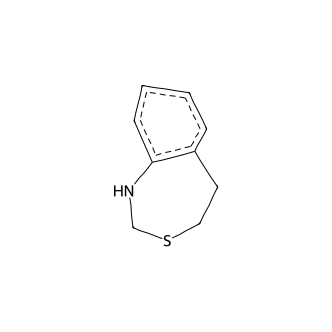 c1ccc2c(c1)CCSCN2